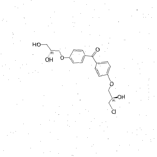 O=C(c1ccc(OC[C@H](O)CO)cc1)c1ccc(OC[C@@H](O)CCl)cc1